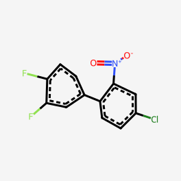 O=[N+]([O-])c1cc(Cl)ccc1-c1ccc(F)c(F)c1